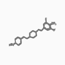 CCCCC1CCC(CCC2CCC(CCc3cc(F)c(C(F)(F)F)c(F)c3)CC2)CC1